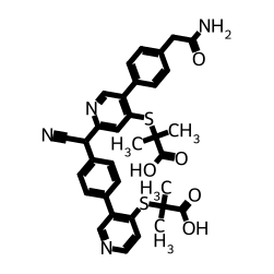 CC(C)(Sc1ccncc1-c1ccc(C(C#N)c2cc(SC(C)(C)C(=O)O)c(-c3ccc(CC(N)=O)cc3)cn2)cc1)C(=O)O